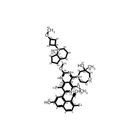 C#Cc1c(F)ccc2cc(O)cc(-c3nc(OC)c4c(N5CCOC[C@@](C)(O)C5)nc(OC[C@]56CCC[C@H]5N(C5CC(OC)C5)CCC6)nc4c3F)c12